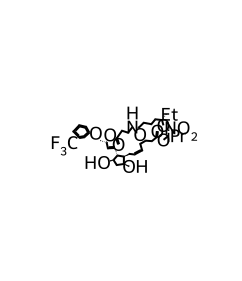 CC[C@@H](CCCC(=O)NCCC(=O)O[C@H](/C=C/[C@@H]1[C@@H](C/C=C\CCCC(=O)OC(C)C)[C@@H](O)C[C@H]1O)COc1cccc(C(F)(F)F)c1)O[N+](=O)[O-]